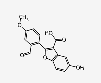 COc1ccc(-c2oc3ccc(O)cc3c2C(=O)O)c(C=O)c1